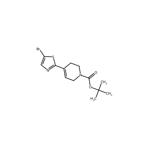 CC(C)(C)OC(=O)N1CC=C(c2ncc(Br)s2)CC1